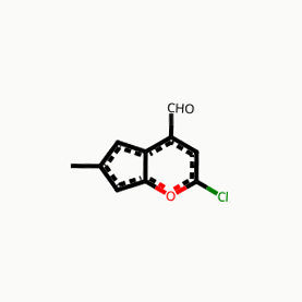 Cc1cc2oc(Cl)cc(C=O)c-2c1